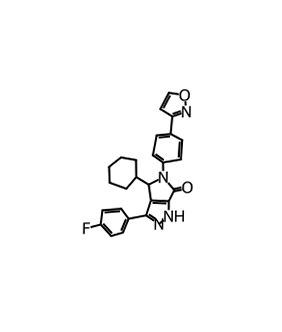 O=C1c2[nH]nc(-c3ccc(F)cc3)c2C(C2CCCCC2)N1c1ccc(-c2ccon2)cc1